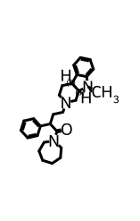 CN1c2ccccc2[C@@H]2CCN(CCC(C(=O)N3CCCCCC3)c3ccccc3)C[C@H]21